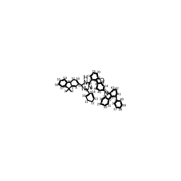 CC1(C)C2=CC(C3N=C(C4=CCCC=C4)N=C(c4cccc5oc6cc(-n7c8ccccc8c8c(-c9ccccc9)cccc87)ccc6c45)N3)=CCC2c2ccccc21